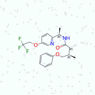 C[C@@H](NC(=O)[C@H](C)[C@@H](C)COc1ccccc1)c1ccc(OCC(F)(F)F)cn1